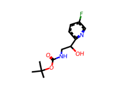 CC(C)(C)OC(=O)NCC(O)c1ccc(F)cn1